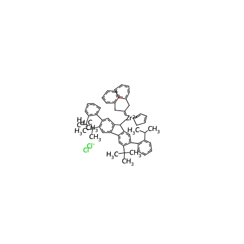 CC(C)c1ccccc1-c1cc2c(cc1C(C)(C)C)-c1cc(C(C)(C)C)c(-c3ccccc3C(C)C)cc1[CH]2[Zr+2]([C]1=CC=CC1)=[C](Cc1ccccc1)Cc1ccccc1.[Cl-].[Cl-]